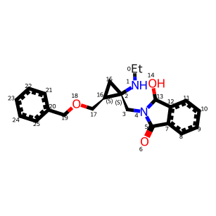 CCN[C@@]1(CN2C(=O)c3ccccc3C2O)C[C@@H]1COCc1ccccc1